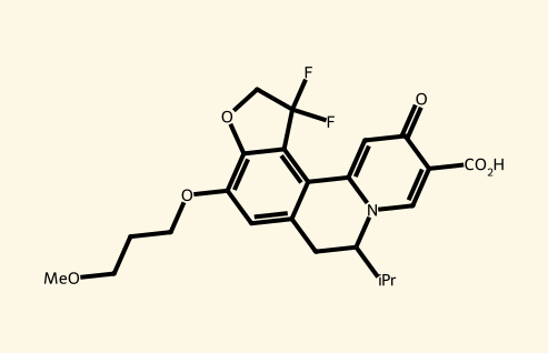 COCCCOc1cc2c(c3c1OCC3(F)F)-c1cc(=O)c(C(=O)O)cn1C(C(C)C)C2